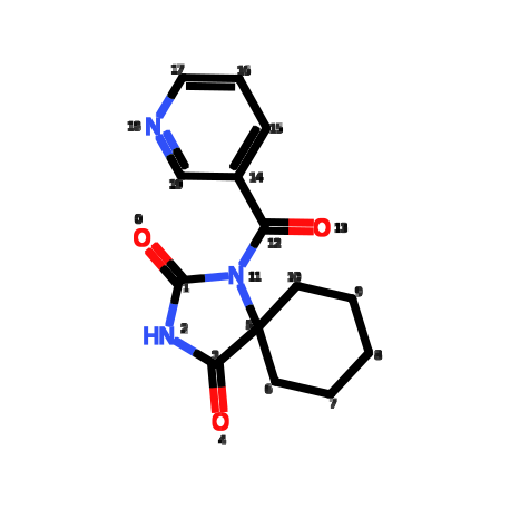 O=C1NC(=O)C2(CCCCC2)N1C(=O)c1cccnc1